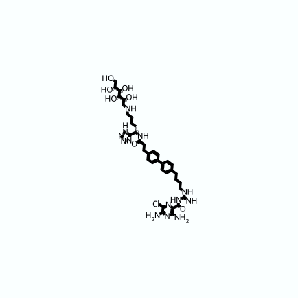 N=C(NCCCCc1ccc(-c2ccc(CCC(=O)N[C@@H](CCCCNC[C@H](O)[C@@H](O)[C@H](O)[C@H](O)CO)c3nnn[nH]3)cc2)cc1)NC(=O)c1nc(Cl)c(N)nc1N